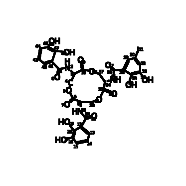 O=C(N[C@H]1COC(=O)[C@@H](NC(=O)c2cccc(O)c2O)COC(=O)[C@@H](NC(=O)c2cc(I)cc(O)c2O)COC1=O)c1cccc(O)c1O